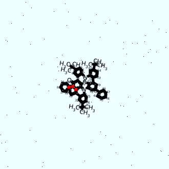 CC(C)(C)c1ccc(N2B3c4cc5oc6ccccc6c5cc4N(c4ccc(C(C)(C)C)cc4-c4ccccc4)c4cc(-c5ccccc5)cc(c43)-c3ccc(C(C)(C)C)cc32)cc1